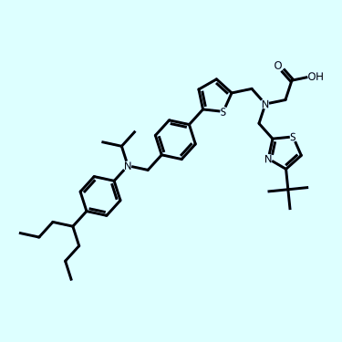 CCCC(CCC)c1ccc(N(Cc2ccc(-c3ccc(CN(CC(=O)O)Cc4nc(C(C)(C)C)cs4)s3)cc2)C(C)C)cc1